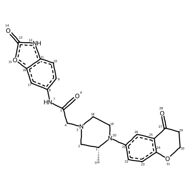 C[C@@H]1CN(CC(=O)Nc2ccc3[nH]c(=O)oc3c2)CCN1c1ccc2c(c1)C(=O)CCO2